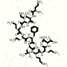 CC(C)C[C@H](NC(=O)[C@@H](Cc1ccccc1)NC(=O)[C@H](CCN)NC(=O)[C@H](CCN)NC(=O)[C@H](CCN)NC(=O)[C@@H](NC(=O)[C@@H](N)CCN)[C@@H](C)O)C(=O)N[C@@H](CCCN)C(=O)N[C@@H](CCN)C(=O)N[C@H](C(=O)O)[C@@H](C)O